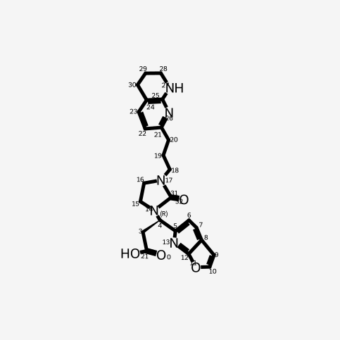 O=C(O)C[C@H](c1ccc2ccoc2n1)N1CCN(CCCc2ccc3c(n2)NCCC3)C1=O